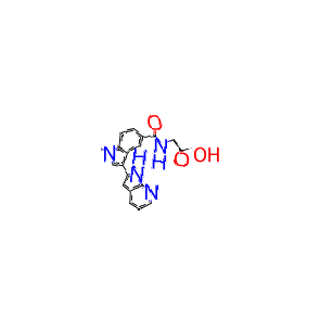 Cn1cc(-c2cc3cccnc3[nH]2)c2cc(C(=O)NCC(=O)CO)ccc21